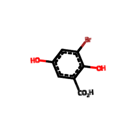 O=C(O)c1cc(O)cc(Br)c1O